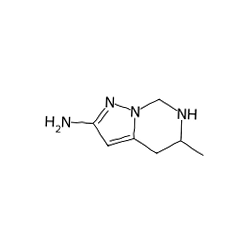 CC1Cc2cc(N)nn2CN1